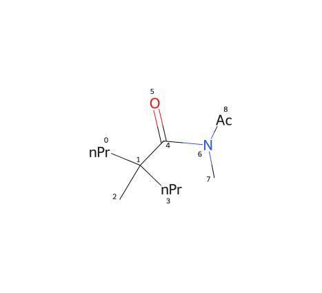 CCCC(C)(CCC)C(=O)N(C)C(C)=O